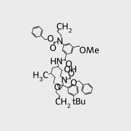 C=CCOCCC(C)CC(NC(=O)c1cc(COC)cc(N(CC=C)C(=O)OCc2ccccc2)c1)[C@H](O)CN(C(=O)OCc1ccccc1)C1(c2cccc(C(C)(C)C)c2)CC1